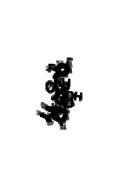 CCCC12Cn3cc(C(=O)NCc4ccc(F)cc4F)c(=O)c(O)c3C(=O)N1CC[C@@H](C)CN2CC(C)C